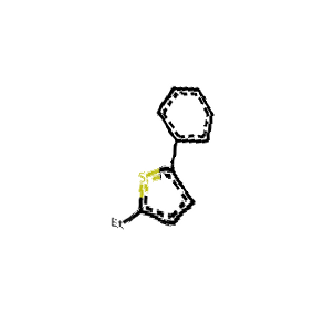 CCc1ccc(-c2ccccc2)s1